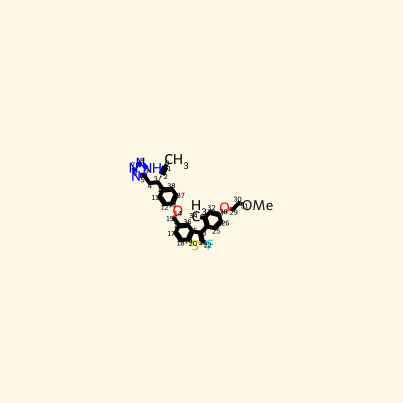 CC#C[C@@H](Cc1nnn[nH]1)c1ccc(OCc2ccc3sc(F)c(-c4ccc(OCCOC)cc4C)c3c2)cc1